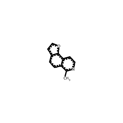 Cc1nccc2c1ccc1ccoc12